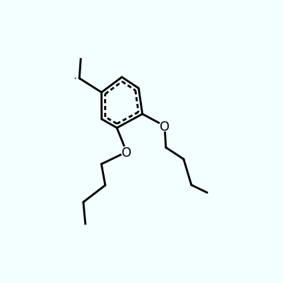 C[CH]c1ccc(OCCCC)c(OCCCC)c1